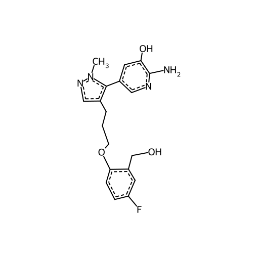 Cn1ncc(CCCOc2ccc(F)cc2CO)c1-c1cnc(N)c(O)c1